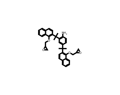 CC(C)(c1ccc(N)c(C(C)(C)c2ccc3ccccc3c2OCC2CO2)c1)c1ccc2ccccc2c1OCC1CO1